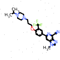 CC(C)N1CCN(CCCOc2ccc(-c3cc4c(ncn4C)c(C#N)n3)cc2C(F)(F)F)CC1